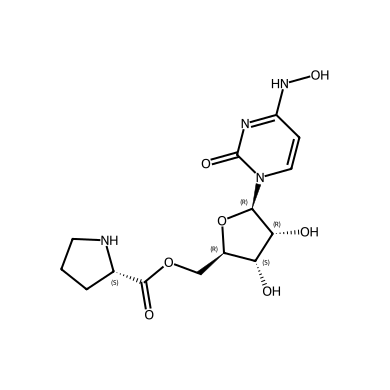 O=C(OC[C@H]1O[C@@H](n2ccc(NO)nc2=O)[C@H](O)[C@@H]1O)[C@@H]1CCCN1